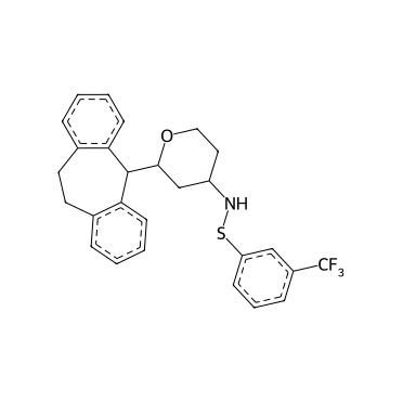 FC(F)(F)c1cccc(SNC2CCOC(C3c4ccccc4CCc4ccccc43)C2)c1